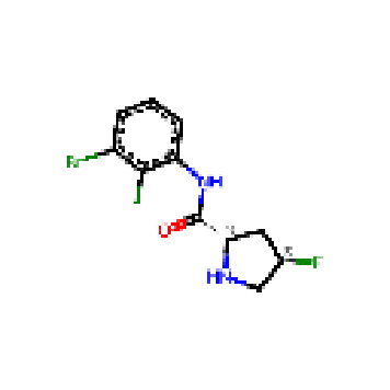 O=C(Nc1cccc(Br)c1F)[C@@H]1C[C@@H](F)CN1